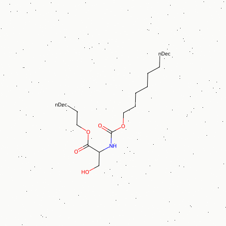 CCCCCCCCCCCCCCCCOC(=O)NC(CO)C(=O)OCCCCCCCCCCCC